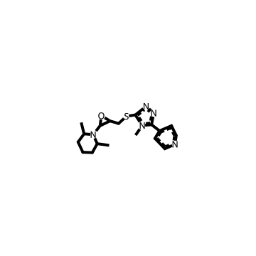 CC1CCCC(C)N1C1OC1CSc1nnc(-c2ccncc2)n1C